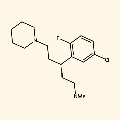 CNCC[C@H](CCN1CCCCC1)c1cc(Cl)ccc1F